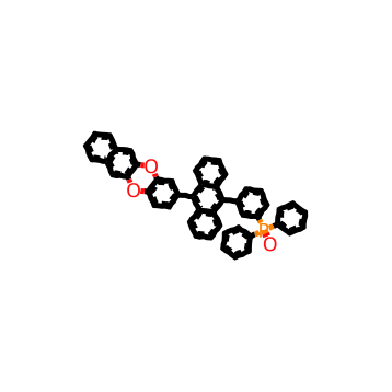 O=P(c1ccccc1)(c1ccccc1)c1cccc(-c2c3ccccc3c(-c3ccc4c(c3)Oc3cc5ccccc5cc3O4)c3ccccc23)c1